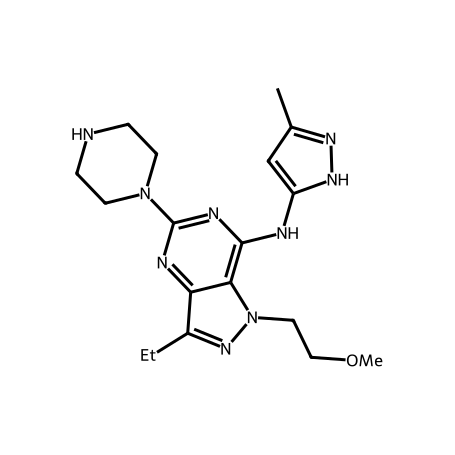 CCc1nn(CCOC)c2c(Nc3cc(C)n[nH]3)nc(N3CCNCC3)nc12